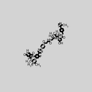 Cc1ncsc1-c1ccc(CNC(=O)[C@@H]2C[C@@H](O)CN2C(=O)[C@@H](NC(=O)CNC(=O)CCC(=O)N2CCN(c3ncc(-c4cc(NC(=O)c5c[nH]c(=O)cc5C(F)(F)F)c(N5C[C@@H](C)N(C)[C@@H](C)C5)cc4F)cn3)CC2)C(C)(C)C)cc1